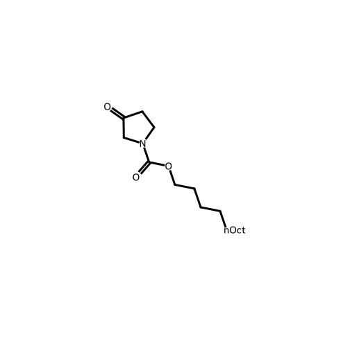 CCCCCCCCCCCCOC(=O)N1CCC(=O)C1